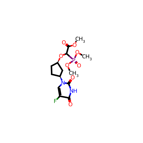 COC(=O)C(O[C@@H]1CC[C@H](n2cc(F)c(=O)[nH]c2=O)C1)P(=O)(OC)OC